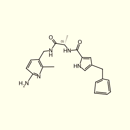 Cc1nc(N)ccc1CNC(=O)[C@H](C)NC(=O)c1cc(Cc2ccccc2)c[nH]1